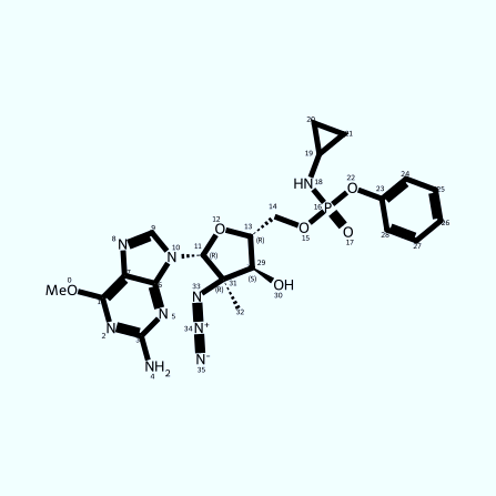 COc1nc(N)nc2c1ncn2[C@@H]1O[C@H](COP(=O)(NC2CC2)Oc2ccccc2)[C@@H](O)[C@@]1(C)N=[N+]=[N-]